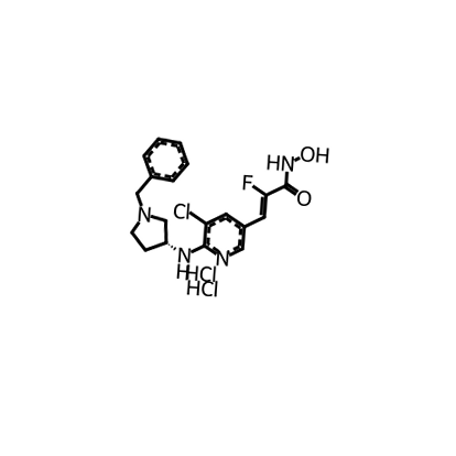 Cl.Cl.O=C(NO)/C(F)=C/c1cnc(N[C@@H]2CCN(Cc3ccccc3)C2)c(Cl)c1